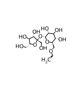 C=COC[C@H]1O[C@H](O[C@]2(CO)O[C@H](CO)[C@@H](O)[C@@H]2O)[C@H](O)[C@@H](O)[C@@H]1O